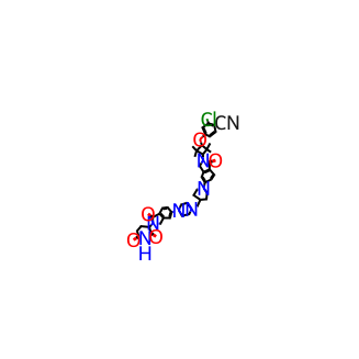 CC1(C)C(Oc2ccc(C#N)c(Cl)c2)C(C)(C)C1N1Cc2cc(N3CCC(CN4CCN(c5ccc6c(c5)CN(C5CCC(=O)NC5=O)C6=O)CC4)CC3)ccc2C1=O